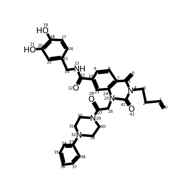 C=CCCN1C(=C)c2ccc(C(=O)NCc3ccc(O)c(O)c3)cc2N(CC(=O)N2CCN(c3ccccc3)CC2)C1=O